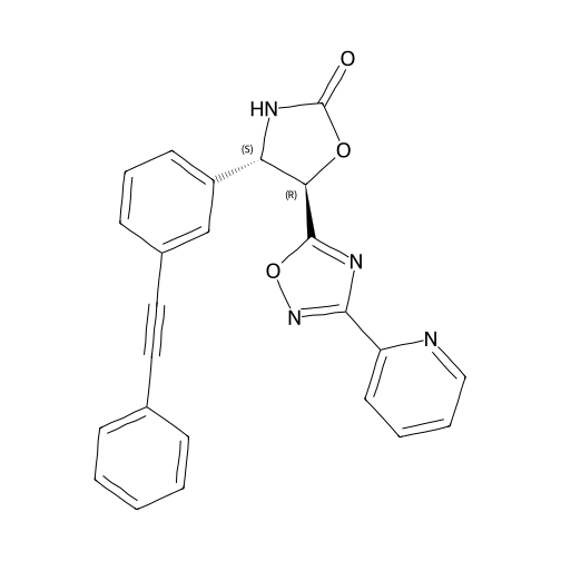 O=C1N[C@@H](c2cccc(C#Cc3ccccc3)c2)[C@H](c2nc(-c3ccccn3)no2)O1